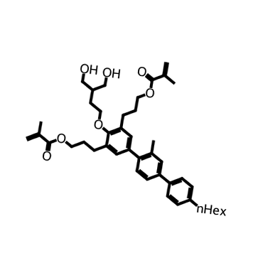 C=C(C)C(=O)OCCCc1cc(-c2ccc(-c3ccc(CCCCCC)cc3)cc2C)cc(CCCOC(=O)C(=C)C)c1OCCC(CO)CO